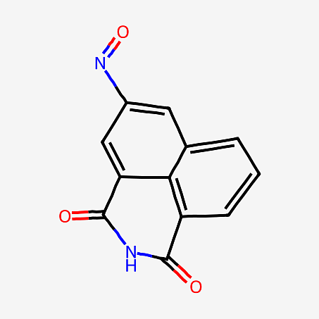 O=Nc1cc2c3c(cccc3c1)C(=O)NC2=O